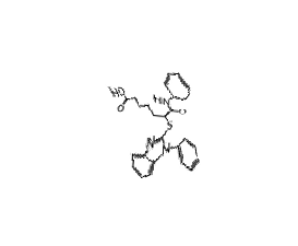 O=C(O)CCCCC(Sc1nc2ccccc2n1-c1ccccc1)C(=O)Nc1ccccc1